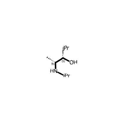 CC(C)N[C@H](C)[C@@H](O)C(C)C